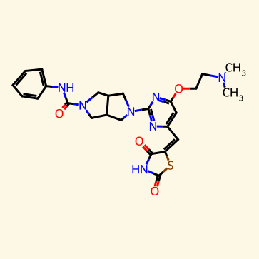 CN(C)CCOc1cc(C=C2SC(=O)NC2=O)nc(N2CC3CN(C(=O)Nc4ccccc4)CC3C2)n1